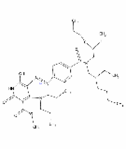 CCCCC(CC)CN(CC(CC)CCCC)C(=O)c1ccc(/N=N/c2c(O)[nH]c(=O)c(C(=O)OC)c2N(CCC)CCC)cc1